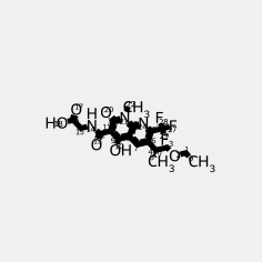 CCOC[C@H](C)c1cc2c(O)c(C(=O)NCC(=O)O)c(=O)n(C)c2nc1C(F)(F)F